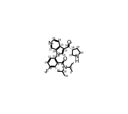 CC(C)N(C(=O)c1cc(F)ccc1-n1cc(C(=O)[C@@H]2CCNC2)c2ccncc21)C(C)C